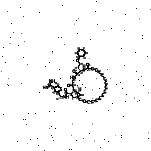 C[C@@H](NC(=O)[C@@H]1C[C@@]23COCCCCCCCCCCCCCC(=O)N[C@@H](CCOc4ccccc4)C(=O)NCC(=O)N1[C@H]2C3)c1cc(C(=N)N)cs1